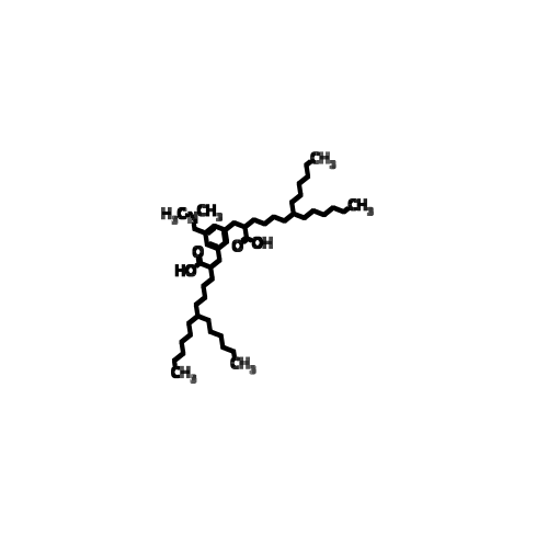 CCCCCCC(CCCCCC)CCCCC(Cc1cc(CC(CCCCC(CCCCCC)CCCCCC)C(=O)O)cc(CN(C)C)c1)C(=O)O